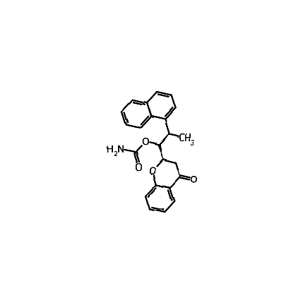 CC(c1cccc2ccccc12)C(OC(N)=O)[C@H]1CC(=O)c2ccccc2O1